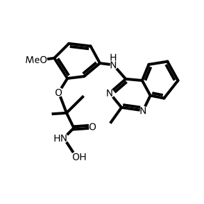 COc1ccc(Nc2nc(C)nc3ccccc23)cc1OC(C)(C)C(=O)NO